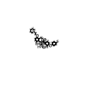 O=C(NO)OC1c2c(Br)ccc(OCCN3CCCCC3)c2CCN1S(=O)(=O)c1ccc(Oc2ccc(F)cc2)cc1